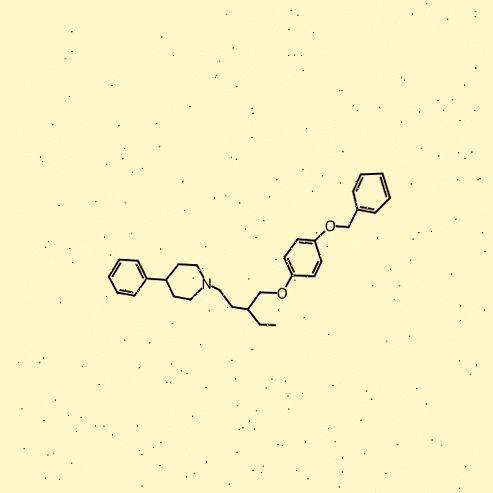 CCC(CCN1CCC(c2ccccc2)CC1)COc1ccc(OCc2ccccc2)cc1